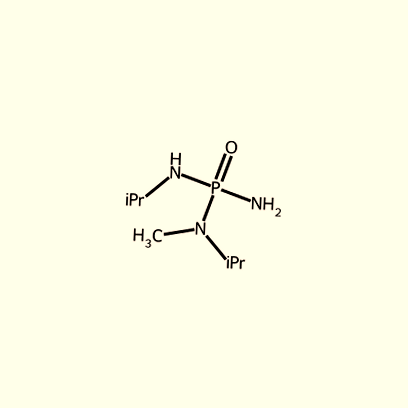 CC(C)NP(N)(=O)N(C)C(C)C